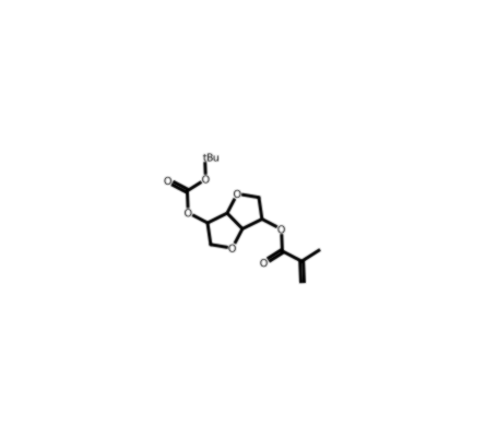 C=C(C)C(=O)OC1COC2C(OC(=O)OC(C)(C)C)COC12